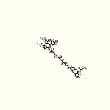 C=CC(=O)/N=C1\N=C2C=CC(CCCNC(=O)CCC(=O)NCCCNC(=O)C[C@@H]3N=C(c4ccc(Cl)cc4)c4c(sc(C)c4C)-n4c(C)nnc43)=CN2Cc2ccccc21